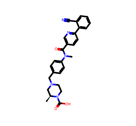 C[C@H]1CN(Cc2ccc(N(C)C(=O)c3ccc(-c4ccccc4C#N)nc3)cc2)CCN1C(=O)O